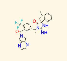 CC(C)C[C@]1(c2ccccc2)NC(=N)N([C@H](C)c2ccc(C(F)(F)F)c(C(=O)N3Cc4nccnc4C3)c2)C1=O